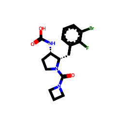 O=C(O)N[C@H]1CCN(C(=O)N2CCC2)[C@H]1Cc1cccc(Br)c1F